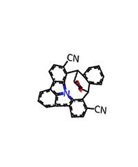 N#Cc1ccc2c3cccc4c5ccc(C#N)c6c5n(c2c1C1c2ccccc2C6c2ccccc21)c34